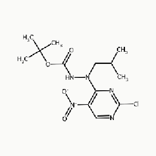 CC(C)CN(NC(=O)OC(C)(C)C)c1nc(Cl)ncc1[N+](=O)[O-]